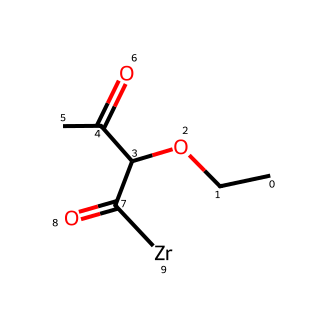 CCOC(C(C)=O)[C](=O)[Zr]